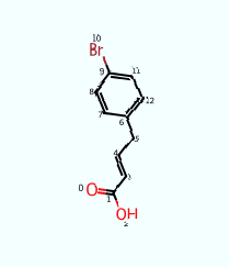 O=C(O)C=CCc1ccc(Br)cc1